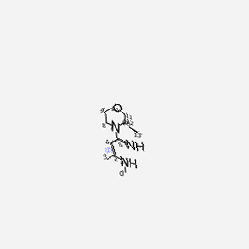 CN/C(C)=C\C(=N)N1CCOC[C@H]1C